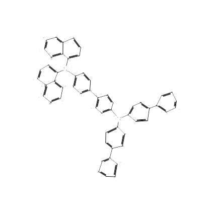 c1ccc(-c2ccc(N(c3ccc(-c4ccccc4)cc3)c3ccc(-c4ccc(N(c5cccc6ccccc56)c5cccc6ccccc56)cc4)cc3)cc2)cc1